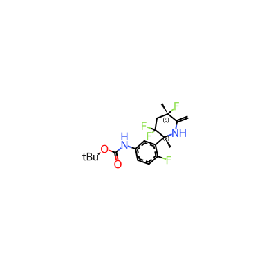 C=C1N[C@](C)(c2cc(NC(=O)OC(C)(C)C)ccc2F)C(F)(F)C[C@]1(C)F